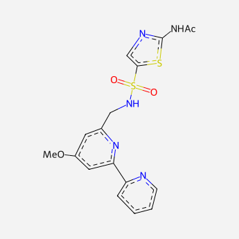 COc1cc(CNS(=O)(=O)c2cnc(NC(C)=O)s2)nc(-c2ccccn2)c1